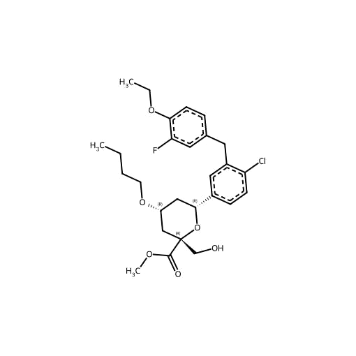 CCCCO[C@@H]1C[C@H](c2ccc(Cl)c(Cc3ccc(OCC)c(F)c3)c2)O[C@](CO)(C(=O)OC)C1